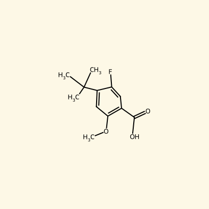 COc1cc(C(C)(C)C)c(F)cc1C(=O)O